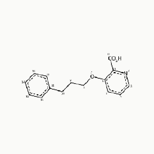 O=C(O)c1ncccc1OCCCc1ccccc1